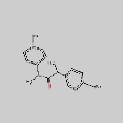 CC(C(=O)C(C)c1ccc(C(C)(C)C)cc1)c1ccc(C(C)(C)C)cc1